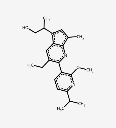 CCc1cc2c(nc1-c1ccc(C(C)C)nc1OC)c(C)cn2C(C)CO